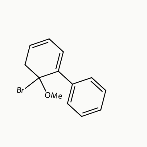 COC1(Br)CC=CC=C1c1ccccc1